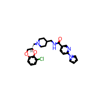 O=C(NCC1CCN(C[C@H]2COc3cccc(Cl)c3O2)CC1)c1ccc(-n2cccc2)nc1